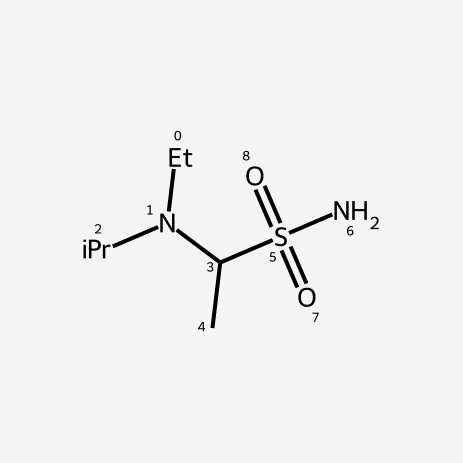 CCN(C(C)C)C(C)S(N)(=O)=O